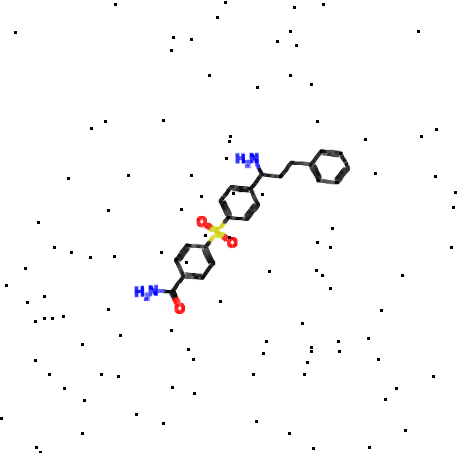 NC(=O)c1ccc(S(=O)(=O)c2ccc(C(N)CCc3ccccc3)cc2)cc1